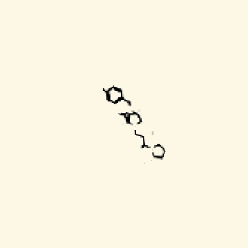 Cc1ccc([C@H](C)N2C(=O)[C@@H]3C[C@H]2CN3C[C@H](N)C(=O)N2CCC[C@H]2C#N)cc1